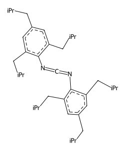 CC(C)Cc1cc(CC(C)C)c(N=C=Nc2c(CC(C)C)cc(CC(C)C)cc2CC(C)C)c(CC(C)C)c1